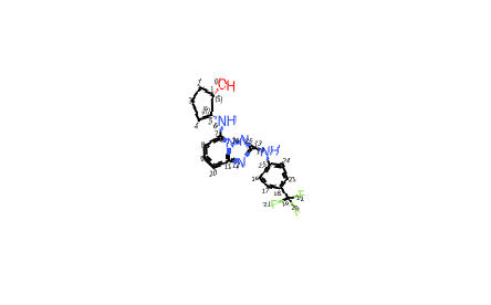 O[C@H]1CCC[C@H]1Nc1cccc2nc(Nc3ccc(C(F)(F)F)cc3)nn12